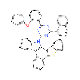 c1ccc2c(-c3nc(-c4cccc5c4oc4ccccc45)nc(-n4c5ccccc5c5c6ccccc6c6sc7ccccc7c6c54)n3)cccc2c1